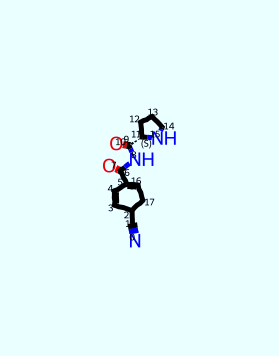 N#CC1C=CC(C(=O)NC(=O)[C@@H]2CCCN2)=CC1